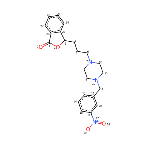 O=C1OC(CCCN2CCN(Cc3cccc([N+](=O)[O-])c3)CC2)c2ccccc21